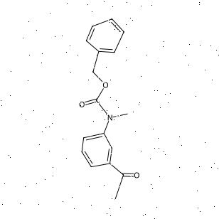 CC(=O)c1cccc(N(C)C(=O)OCc2ccccc2)c1